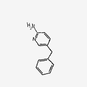 Nc1ccc(Cc2ccccc2)cn1